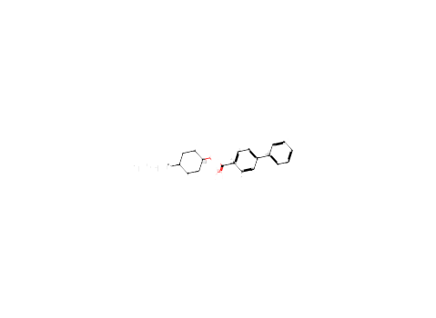 CCCCCC1CCC(OC(=O)c2ccc(-c3ccccc3)cc2)CC1